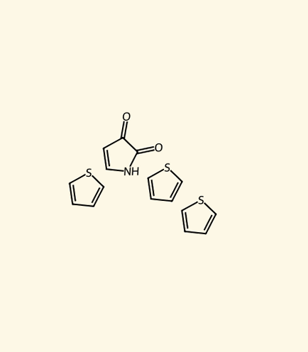 O=C1C=CNC1=O.c1ccsc1.c1ccsc1.c1ccsc1